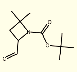 CC(C)(C)OC(=O)N1C(C=O)CC1(C)C